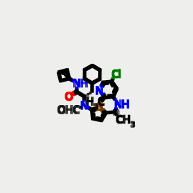 Cc1ncc(Cl)cc1N[C@@H](C)c1ccc(N(C=O)[C@@H](CC2CCCCC2)C(=O)NC23CC(C2)C3)s1